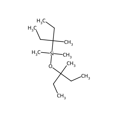 CCC(C)(CC)O[Si](C)(C)C(C)(CC)CC